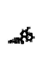 CCCNNC(=O)c1ccc(F)c2c1CCCO2